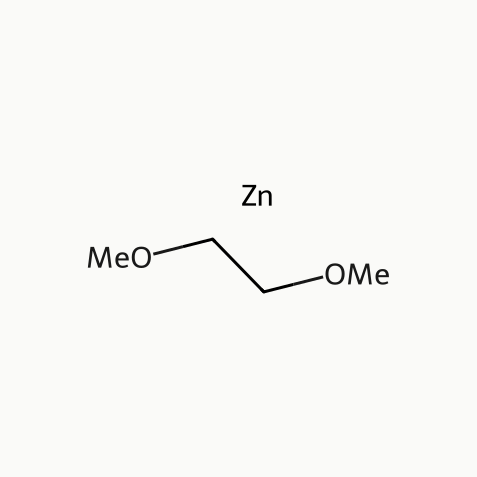 COCCOC.[Zn]